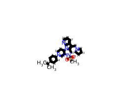 CC(C)[C@H]1CC[C@@H](N2CCC(n3c(CNS(C)(=O)=O)c(CN4CCCC4)c4cccnc43)CC2)CC1